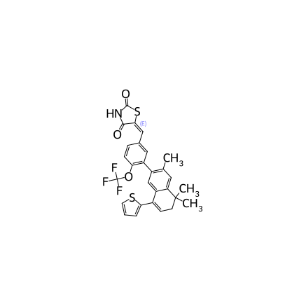 Cc1cc2c(cc1-c1cc(/C=C3/SC(=O)NC3=O)ccc1OC(F)(F)F)C(c1cccs1)=CCC2(C)C